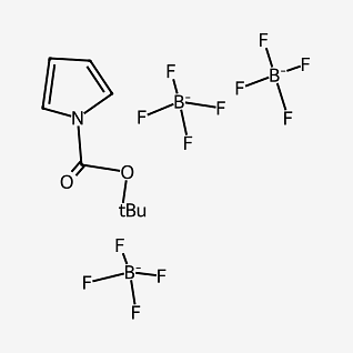 CC(C)(C)OC(=O)n1cccc1.F[B-](F)(F)F.F[B-](F)(F)F.F[B-](F)(F)F